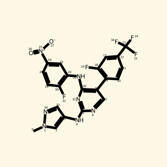 Cn1cc(Nc2ncc(-c3ccc(C(F)(F)F)cc3F)c(Nc3cc([N+](=O)[O-])ccc3F)n2)cn1